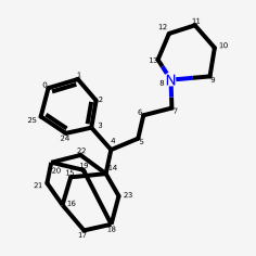 c1ccc(C(CCCN2CCCCC2)C23CC4CC(CC(C4)C2)C3)cc1